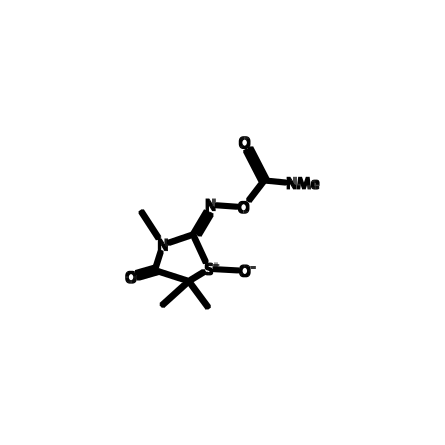 CNC(=O)ON=C1N(C)C(=O)C(C)(C)[S+]1[O-]